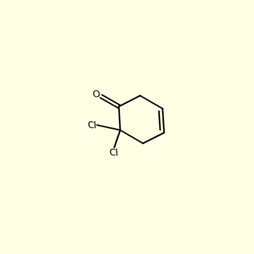 O=C1CC=CCC1(Cl)Cl